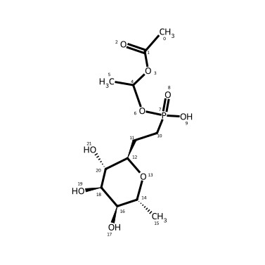 CC(=O)OC(C)OP(=O)(O)CC[C@H]1O[C@H](C)[C@@H](O)[C@@H](O)[C@@H]1O